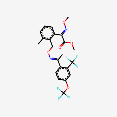 CO/N=C(/C(=O)OC)c1cccc(C)c1CO/N=C(\C)c1ccc(OC(F)(F)F)cc1C(F)(F)F